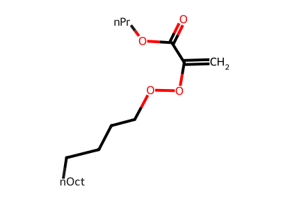 C=C(OOCCCCCCCCCCCC)C(=O)OCCC